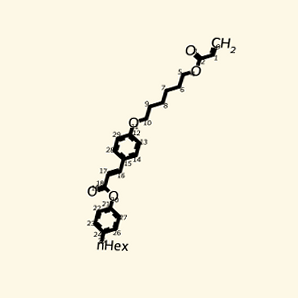 C=CC(=O)OCCCCCCOc1ccc(C=CC(=O)Oc2ccc(CCCCCC)cc2)cc1